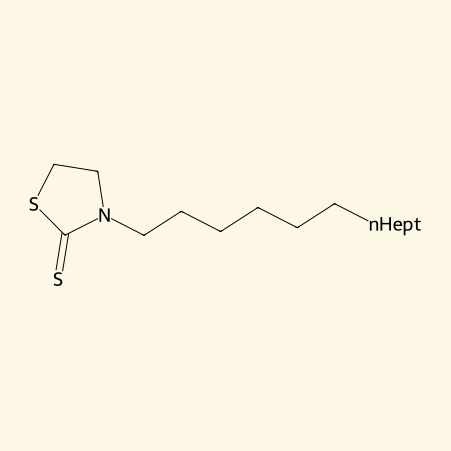 CCCCCCCCCCCCCN1CCSC1=S